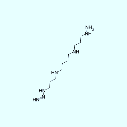 N=NNCCCNCCCCNCCCNN